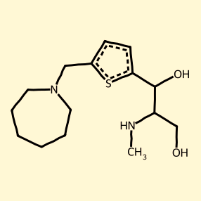 CNC(CO)C(O)c1ccc(CN2CCCCCC2)s1